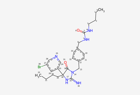 CCCCNC(=O)NCc1ccc(CN2C(=N)NC(CCCC)(c3cncc(Br)c3)C2=O)cc1